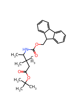 CC(NC(=O)OCC1c2ccccc2-c2ccccc21)C(C)(C)CC(=O)OC(C)(C)C